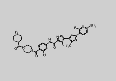 Cn1c(-c2cn(-c3ccc(N)nc3F)nc2C(F)(F)F)cnc1C(=O)Nc1ccc(C(=O)N2CCN(C(=O)C3CCNCC3)CC2)c(Cl)c1